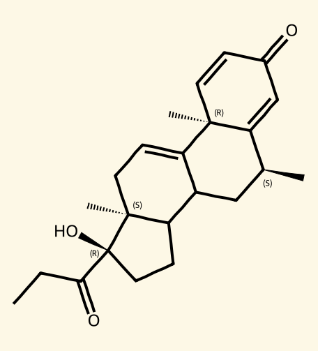 CCC(=O)[C@@]1(O)CCC2C3C[C@H](C)C4=CC(=O)C=C[C@]4(C)C3=CC[C@@]21C